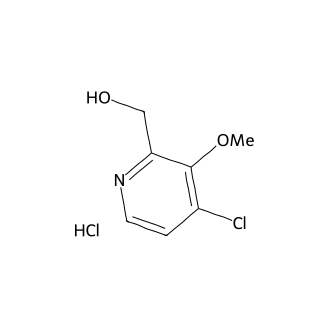 COc1c(Cl)ccnc1CO.Cl